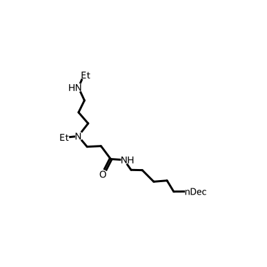 CCCCCCCCCCCCCCCNC(=O)CCN(CC)CCCNCC